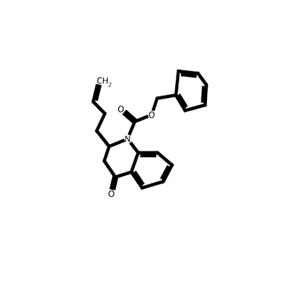 C=CCCC1CC(=O)c2ccccc2N1C(=O)OCc1ccccc1